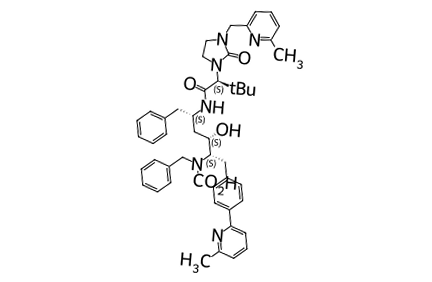 Cc1cccc(CN2CCN([C@H](C(=O)N[C@@H](Cc3ccccc3)C[C@H](O)[C@H](Cc3ccc(-c4cccc(C)n4)cc3)N(Cc3ccccc3)C(=O)O)C(C)(C)C)C2=O)n1